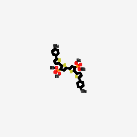 CCOP(=O)(OCC)c1cc(-c2cc(P(=O)(OCC)OCC)c(-c3ccc(-c4ccc(C(C)(C)C)cc4)s3)s2)sc1-c1ccc(-c2ccc(C(C)(C)C)cc2)s1